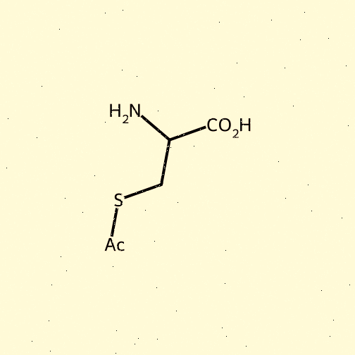 CC(=O)SCC(N)C(=O)O